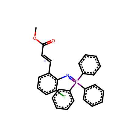 COC(=O)/C=C/c1cccc(F)c1N=P(c1ccccc1)(c1ccccc1)c1ccccc1